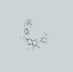 Cc1c(N)cncc1-c1cc2cc(Nc3cc4n(n3)CS(=O)(=O)N(C(C)C)C4)ncc2c(N)c1F